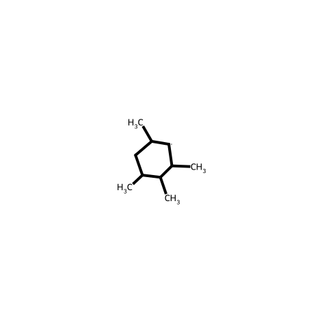 CC1[CH]C(C)C(C)C(C)C1